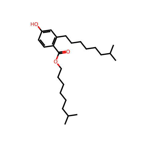 CC(C)CCCCCCOC(=O)c1ccc(O)cc1CCCCCCC(C)C